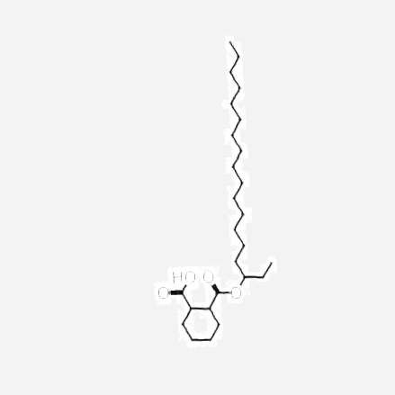 CCCCCCCCCCCCCCCC(CC)OC(=O)C1CCCCC1C(=O)O